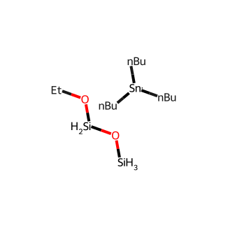 CCC[CH2][Sn]([CH2]CCC)[CH2]CCC.CCO[SiH2]O[SiH3]